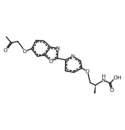 CC(=O)COc1ccc2nc(-c3ccc(OC[C@H](C)NC(=O)O)cn3)oc2c1